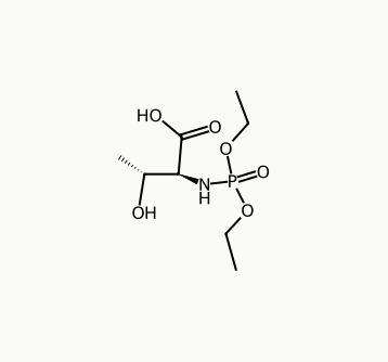 CCOP(=O)(N[C@H](C(=O)O)[C@@H](C)O)OCC